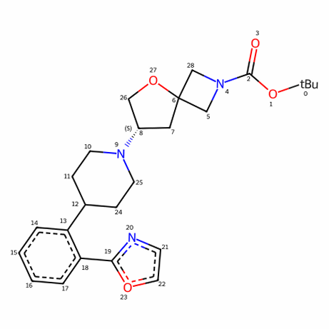 CC(C)(C)OC(=O)N1CC2(C[C@H](N3CCC(c4ccccc4-c4ncco4)CC3)CO2)C1